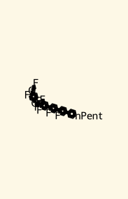 CCCCCC1CCC(c2ccc(-c3ccc(-c4cc(F)c(C(F)(F)Oc5ccc(OCCF)c(F)c5)c(F)c4)c(F)c3)c(F)c2)CC1